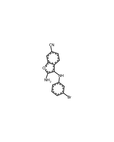 N#Cc1ccc2c(Nc3cccc(Br)c3)c(N)oc2c1